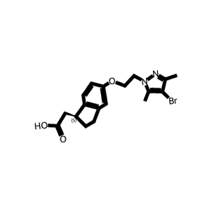 Cc1nn(CCOc2ccc3c(c2)CC[C@H]3CC(=O)O)c(C)c1Br